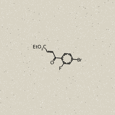 CCOC(=O)/C=C/C(=O)c1ccc(Br)cc1F